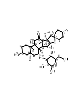 C[C@@H]1CC[C@@]2(OC1)O[C@H]1C[C@H]3[C@@H]4CC[C@H]5C[C@@H](O)CC[C@]5(C)[C@H]4CC(=O)[C@]3(C)[C@H]1[C@@H]2C.OC[C@H]1O[C@@H](O)[C@H](O)[C@@H](O)[C@@H]1O